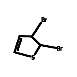 BrC1C=CSC1Br